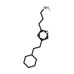 NCCCc1cc(CCC2CCCCC2)cs1